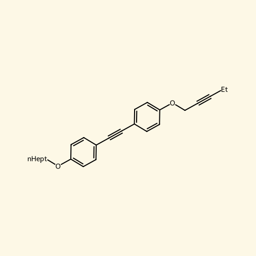 CCC#CCOc1ccc(C#Cc2ccc(OCCCCCCC)cc2)cc1